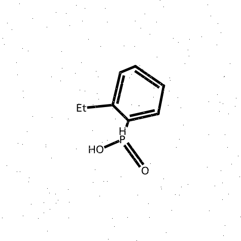 CCc1ccccc1[PH](=O)O